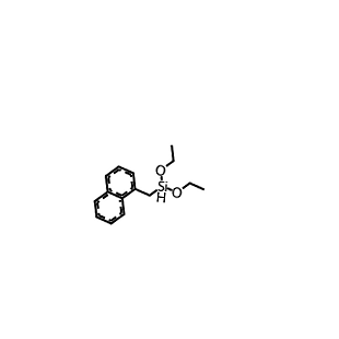 CCO[SiH](Cc1cccc2ccccc12)OCC